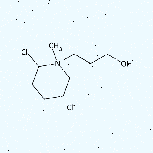 C[N+]1(CCCO)CCCCC1Cl.[Cl-]